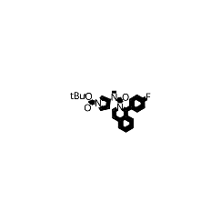 CN(C(=O)N1CCc2ccccc2C1c1ccc(F)cc1)[C@@H]1CCN(C(=O)OC(C)(C)C)C1